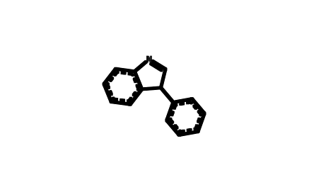 C1=Nc2ccccc2C1c1ccccc1